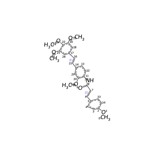 COc1ccc(/C=C/C(=O)Nc2ccc(/C=C/c3cc(OC)c(OC)c(OC)c3)cc2OC)cc1